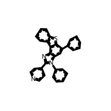 c1ccc(-c2cc3c(nc(-c4ccncc4)n3-c3ccccc3)c3c2sc2ccccc23)cc1